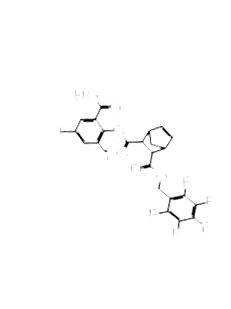 O=C(O)c1cc(I)cc(I)c1OC(=O)C1C2C=CC(C2)C1C(=O)OCc1c(F)c(F)c(F)c(F)c1F